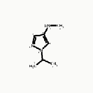 CNc1cnn(C(C)C)c1